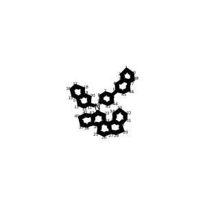 c1ccc2cc(-c3ccc(N(c4ccc5ccccc5c4)c4cc5c(ccc6ccc7ccccc7c65)c5ccccc45)cc3)ccc2c1